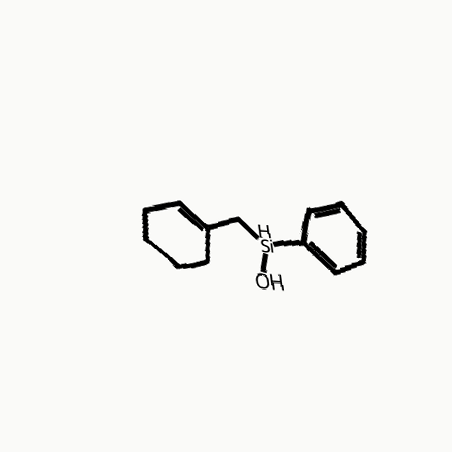 O[SiH](CC1=CCCCC1)c1ccccc1